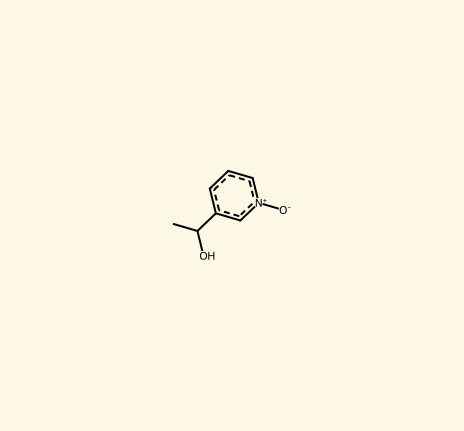 CC(O)c1ccc[n+]([O-])c1